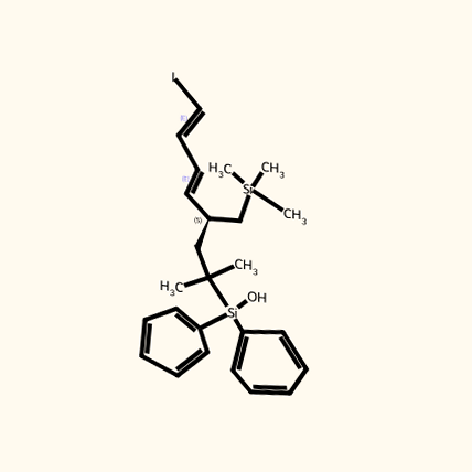 CC(C)(C[C@@H](/C=C/C=C/I)C[Si](C)(C)C)[Si](O)(c1ccccc1)c1ccccc1